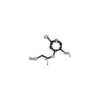 COC[C@@H](C)Oc1cc(Cl)ncc1N